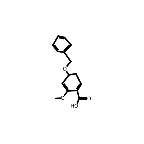 COC1=CC(OCc2ccccc2)CC=C1C(=O)O